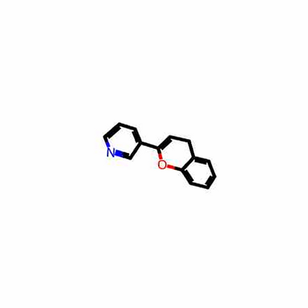 C1=C(c2cccnc2)Oc2ccccc2C1